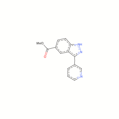 COC(=O)c1ccc2[nH]nc(-c3cccnc3)c2c1